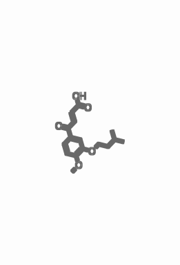 COc1ccc(C(=O)/C=C/C(=O)O)cc1OCCC(C)C